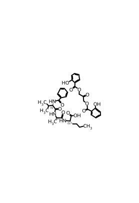 CCCC[C@H](NC(=O)[C@H](C)NC(=O)[C@@H](NC(=O)c1ccccc1)C(C)C)C(=O)O.O=C(COC(=O)c1ccccc1O)COC(=O)c1ccccc1O